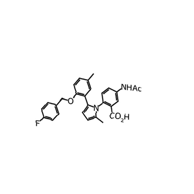 CC(=O)Nc1ccc(-n2c(C)ccc2-c2cc(C)ccc2OCc2ccc(F)cc2)c(C(=O)O)c1